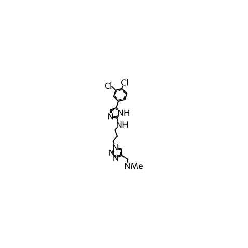 CNCc1cn(CCCNc2ncc(-c3ccc(Cl)c(Cl)c3)[nH]2)nn1